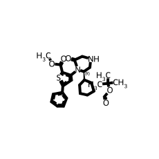 CC(C)(C)OC=O.COC(=O)c1sc(-c2ccccc2)cc1N1C(=O)CNC[C@H]1C1CCCCC1